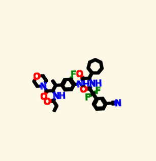 CCC(=O)NC(C(=O)N1CCOCC1)C(C)c1ccc(NC(=O)C(NC(=O)C(F)(F)c2cccc(C#N)c2)C2CCCCCC2)c(F)c1